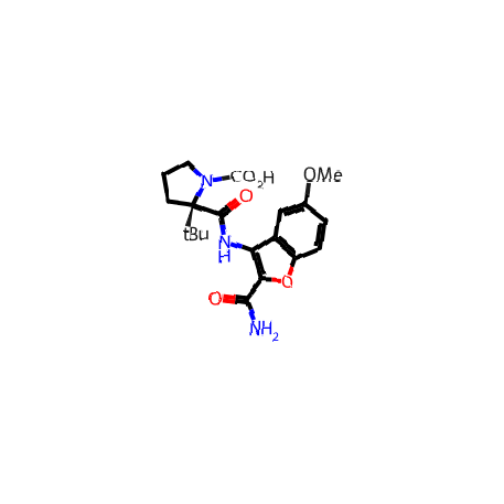 COc1ccc2oc(C(N)=O)c(NC(=O)[C@]3(C(C)(C)C)CCCN3C(=O)O)c2c1